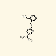 C=Cc1ccncc1CCc1ccc(C(=C)C)cn1